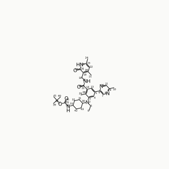 CCN(c1cc(-c2cnc(C)cn2)cc(C(=O)NCc2c(C)cc(C)[nH]c2=O)c1C)C1CCC(NC(=O)OC(C)(C)C)CC1